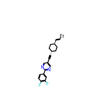 CCC=C[C@H]1CC[C@H](C#Cc2cnc(-c3ccc(F)c(F)c3)nc2)CC1